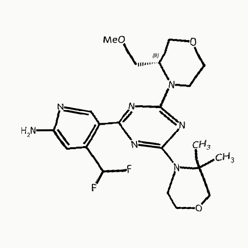 COC[C@@H]1COCCN1c1nc(-c2cnc(N)cc2C(F)F)nc(N2CCOCC2(C)C)n1